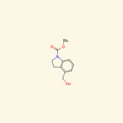 CC(C)(C)OC(=O)N1CCc2c(CO)cccc21